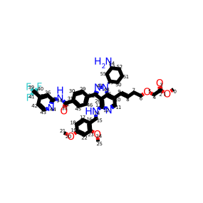 COC(=O)COCC/C=C/c1cnc(NCc2ccc(OC)cc2OC)c2c(-c3ccc(C(=O)Nc4cc(C(F)(F)F)ccn4)cc3)nn([C@@H]3CCC[C@@H](N)C3)c12